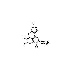 O=C(O)c1cn(-c2ccc(F)cc2F)c2cc(F)c(F)cc2c1=O